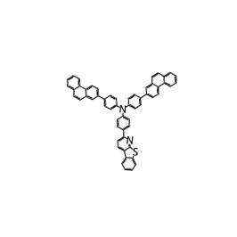 c1ccc2c(c1)ccc1cc(-c3ccc(N(c4ccc(-c5ccc6c(ccc7ccccc76)c5)cc4)c4ccc(-c5ccc6c(n5)sc5ccccc56)cc4)cc3)ccc12